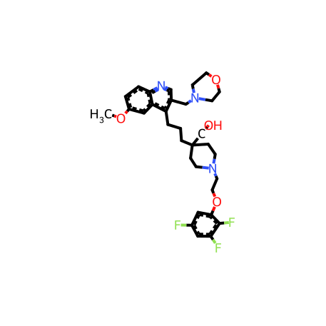 COc1ccc2ncc(CN3CCOCC3)c(CCCC3(CO)CCN(CCOc4cc(F)cc(F)c4F)CC3)c2c1